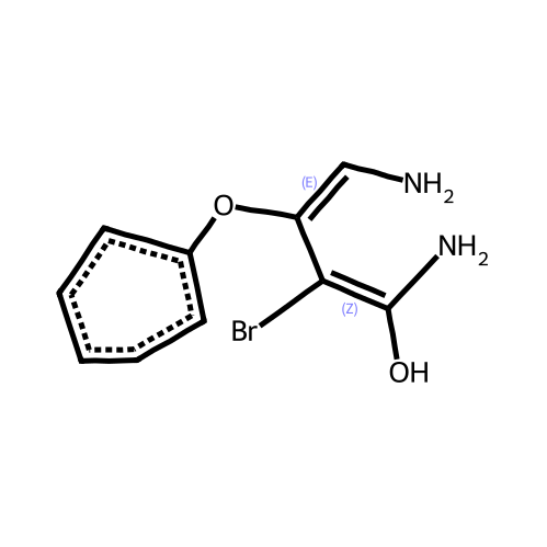 N/C=C(Oc1ccccc1)\C(Br)=C(/N)O